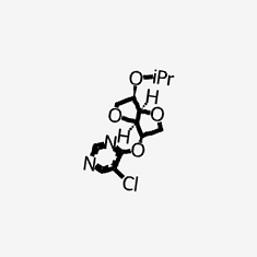 CC(C)O[C@@H]1CO[C@H]2[C@@H]1OC[C@H]2Oc1ncncc1Cl